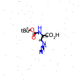 CC(C)(C)OC(=O)NC(CN=[N+]=[N-])C(=O)O